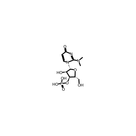 CN(C)c1nc(=O)ccn1[C@@H]1O[C@H](CO)[C@@H](OP(=O)(O)O)[C@H]1O